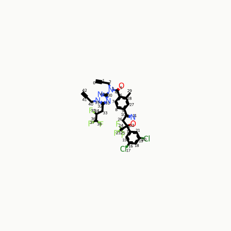 C#CCN(C(=O)c1ccc(C2=NOC(c3cc(Cl)cc(Cl)c3)(C(F)(F)F)C2)cc1C)c1nc(CC(F)C(F)F)n(CC#C)n1